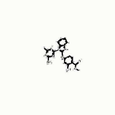 COC(=O)c1ccc(Nc2nc3ccccc3n2-c2nc(C)nc(N)n2)cc1O